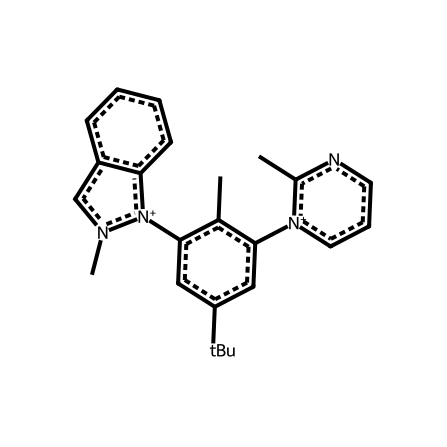 Cc1c(-[n+]2cccnc2C)cc(C(C)(C)C)cc1-[n+]1c2ccccc2cn1C